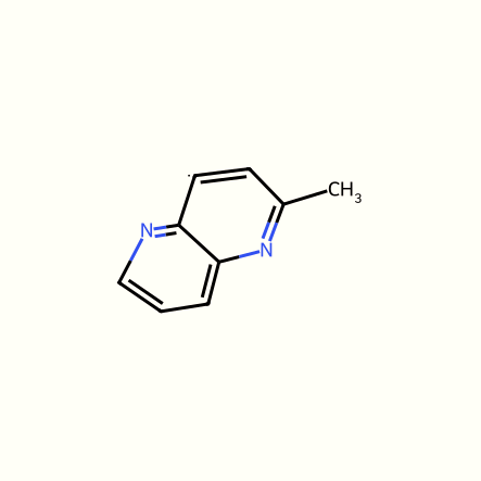 Cc1c[c]c2ncccc2n1